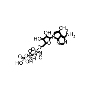 Cc1cn(C2OC(COP(=O)(N=O)OP(=O)(O)OP(=O)(O)O)C(O)C2O)c2ncnc(N)c12